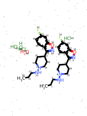 CCCNN1CCC(c2noc3cc(F)ccc23)CC1.CCCNN1CCC(c2noc3cc(F)ccc23)CC1.Cl.Cl.Cl.Cl.O